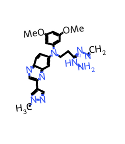 C=N/N=C(/CCN(c1cc(OC)cc(OC)c1)c1ccc2ncc(-c3cnn(C)c3)nc2c1)NN